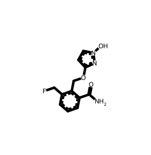 NC(=O)c1cccc(CF)c1COc1ccn(O)n1